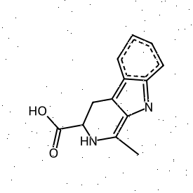 CC1=C2N=c3ccccc3=C2CC(C(=O)O)N1